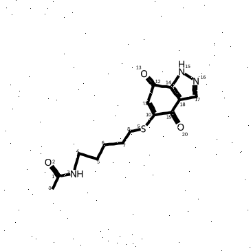 CC(=O)NCCCCCSC1=CC(=O)c2[nH]ncc2C1=O